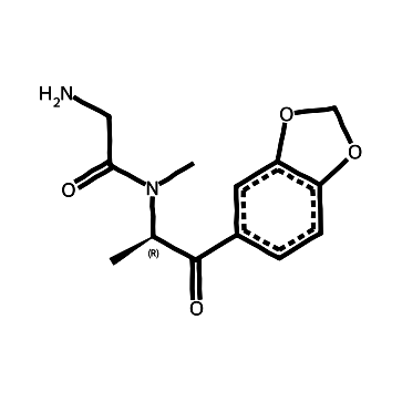 C[C@H](C(=O)c1ccc2c(c1)OCO2)N(C)C(=O)CN